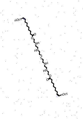 CCCCCCCC/C=C\CCCCCCCC(=O)OCCNCCNCCSSCCNCCNCCOC(=O)CCCCCCC/C=C\CCCCCCCC